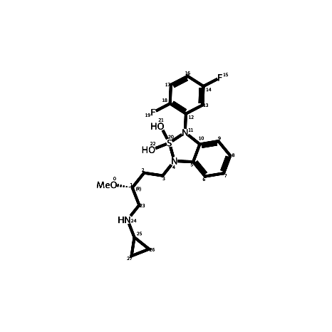 CO[C@H](CCN1c2ccccc2N(c2cc(F)ccc2F)S1(O)O)CNC1CC1